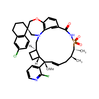 CO[C@]1(c2cccnc2F)/C=C/C[C@H](C)[C@@H](C)S(=O)(=O)NC(=O)c2ccc3c(c2)N(C[C@@H]2CC[C@H]21)C[C@@]1(CCCc2cc(Cl)ccc21)CO3